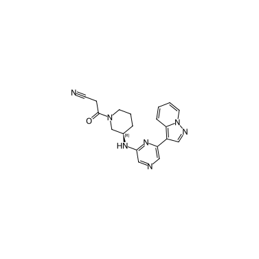 N#CCC(=O)N1CCC[C@@H](Nc2cncc(-c3cnn4ccccc34)n2)C1